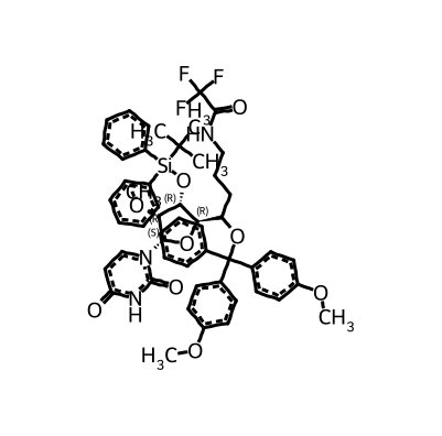 COc1ccc(C(OC(CCCNC(=O)C(F)(F)F)[C@H]2O[C@H](n3ccc(=O)[nH]c3=O)[C@H](OC)[C@@H]2O[Si](c2ccccc2)(c2ccccc2)C(C)(C)C)(c2ccccc2)c2ccc(OC)cc2)cc1